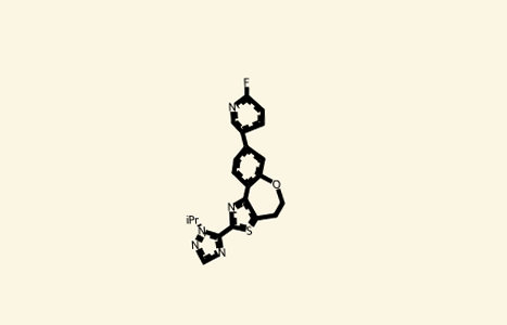 CC(C)n1ncnc1-c1nc2c(s1)CCOc1cc(-c3ccc(F)nc3)ccc1-2